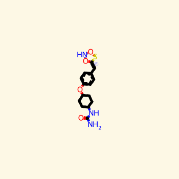 NC(=O)NC1CCC(Oc2ccc(/C=C3\ONOS3)cc2)CC1